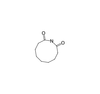 O=C1CCCCCCCC(=O)[N]1